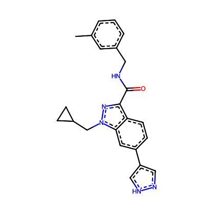 Cc1cccc(CNC(=O)c2nn(CC3CC3)c3cc(-c4cn[nH]c4)ccc23)c1